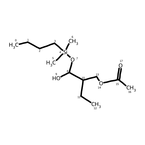 CCCC[Si](C)(C)OC(O)C(CC)COC(C)=O